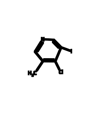 Cc1cncc(I)c1Cl